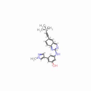 Cn1cc(-c2cc(O)cc(Nc3ncc4cc(C#C[Si](C)(C)C)ccc4n3)c2)cn1